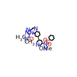 COc1ncc(-c2ccc3ncc4nnc(C(=O)N(C)C)n4c3c2)cc1NS(=O)(=O)c1ccccc1